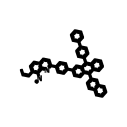 C=Nc1c(/C=C\C)ccc2ccc(-c3ccc(-c4ccc5c(-c6ccc7ccccc7c6)c6ccccc6c(-c6ccc(-c7ccccc7)cc6)c5c4)cc3)nc12